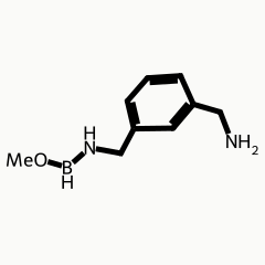 COBNCc1cccc(CN)c1